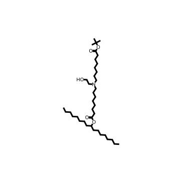 CCCCCCCCC(CCCCCCCC)OC(=O)CCCCCCCN(CCO)CCCCCCCC(=O)OC(C)(C)C